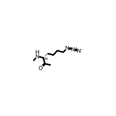 CN[C@H](CCCCN=[N+]=[N-])C(C)=O